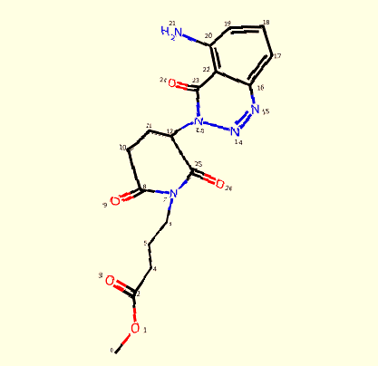 COC(=O)CCCN1C(=O)CCC(n2nnc3cccc(N)c3c2=O)C1=O